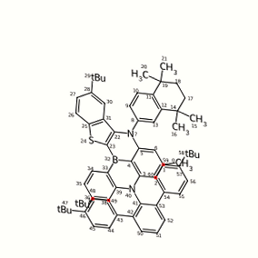 Cc1cc2c3c(c1)N(c1ccc4c(c1)C(C)(C)CCC4(C)C)c1c(sc4ccc(C(C)(C)C)cc14)B3c1ccc(C(C)(C)C)cc1N2c1c(-c2ccc(C(C)(C)C)cc2)cccc1-c1ccc(C(C)(C)C)cc1